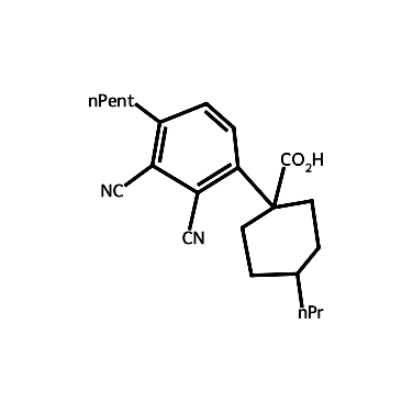 CCCCCc1ccc(C2(C(=O)O)CCC(CCC)CC2)c(C#N)c1C#N